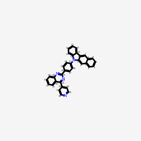 c1ccc2cc3c(cc2c1)c1ccccc1n3-c1ccc(-c2nc(-c3ccncc3)c3ccccc3n2)cc1